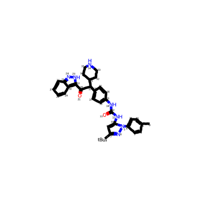 Cc1ccc(-n2nc(C(C)(C)C)cc2NC(=O)Nc2ccc(C(C(=O)c3[nH]nc4ccccc34)C3CCNCC3)cc2)cc1